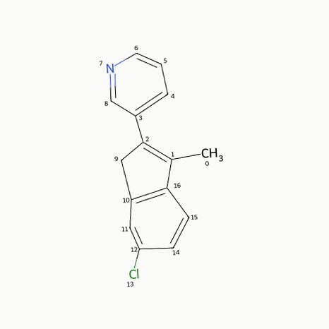 CC1=C(c2cccnc2)Cc2cc(Cl)ccc21